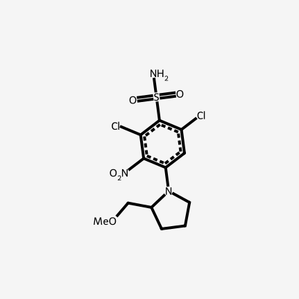 COCC1CCCN1c1cc(Cl)c(S(N)(=O)=O)c(Cl)c1[N+](=O)[O-]